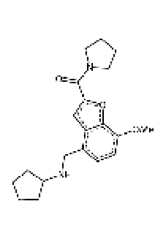 COc1ccc(CNC2CCCC2)c2cc(C(=O)N3CCCC3)oc12